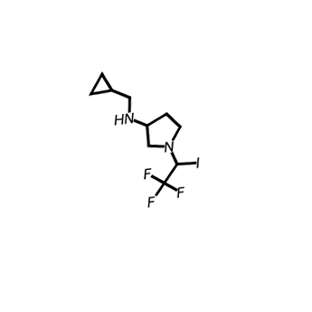 FC(F)(F)C(I)N1CCC(NCC2CC2)C1